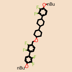 CCCCOc1ccc(-c2ccc(COC3CCC(C4CCC(c5ccc(OCCCC)c(F)c5F)CC4)CC3)c(F)c2F)c(F)c1F